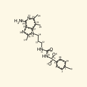 Cc1ccc(S(=O)(=O)NC(=O)NCCCn2c(C)nc3c(N)nc(C)c(C)c32)cc1